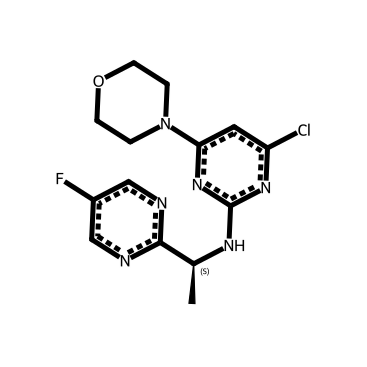 C[C@H](Nc1nc(Cl)cc(N2CCOCC2)n1)c1ncc(F)cn1